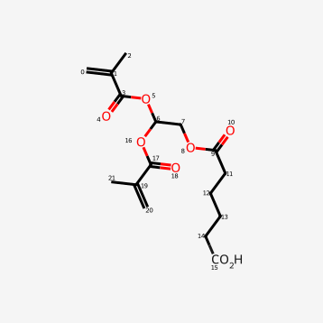 C=C(C)C(=O)OC(COC(=O)CCCCC(=O)O)OC(=O)C(=C)C